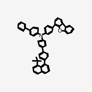 CC(C)(C)c1cccc2cccc(-c3ccc(-c4ccc(N(c5ccc(-c6ccccc6)cc5)c5ccc(-c6cccc7c6oc6ccccc67)cc5)cc4)cc3)c12